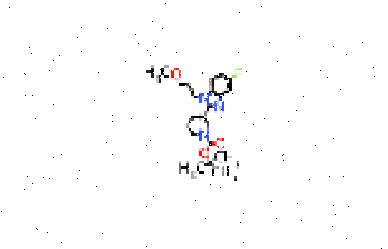 COCCCn1c([C@@H]2CCCN(C(=O)OC(C)(C)C)C2)nc2cc(F)ccc21